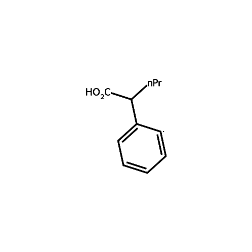 CCCC(C(=O)O)c1[c]cccc1